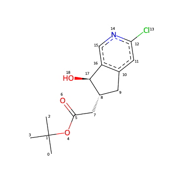 CC(C)(C)OC(=O)C[C@H]1Cc2cc(Cl)ncc2[C@@H]1O